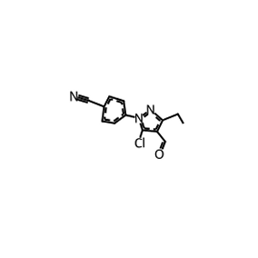 CCc1nn(-c2ccc(C#N)cc2)c(Cl)c1C=O